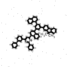 CC1(C)c2ccccc2-c2ccc(-c3cc(-c4cccc5ccccc45)cc(-c4ccc(-c5cc(-c6cccc(-c7ccccc7)c6)nc(-c6ccccc6)n5)c5ccccc45)c3)cc21